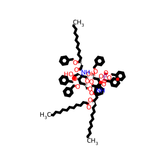 CCCCCCCCCCCC(=O)O[C@H](CCCCCCCCCCC)CC(=O)N[C@@H]1[C@H](OC[C@H]2O[C@H](O)[C@@](CC(=O)O)(NC(=O)C[C@@H](CCCCCCCCCCC)OCc3ccccc3)[C@@H](OCc3ccccc3)[C@@H]2OCc2ccccc2)O[C@H](COCc2ccccc2)[C@@H](OP(=O)(OCc2ccccc2)OCc2ccccc2)[C@@H]1OCc1ccccc1